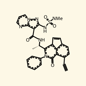 C#Cc1ccc2c3c(c([C@H](C)NC(=O)c4c(NS(=O)(=O)NC)nn5cccnc45)n(-c4ccccc4)c(=O)c13)C=C2